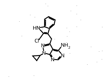 Nc1ncnc2c1c(Cc1c(Cl)[nH]c3ccccc13)nn2C1CC1